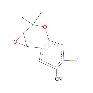 CC1(C)Oc2cc(Cl)c(C#N)cc2C2OC21